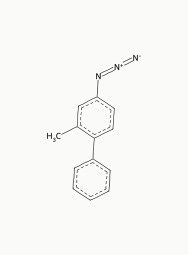 Cc1cc(N=[N+]=[N-])ccc1-c1ccccc1